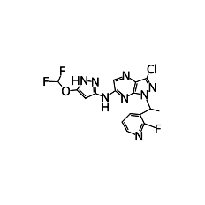 CC(c1cccnc1F)n1nc(Cl)c2ncc(Nc3cc(OC(F)F)[nH]n3)nc21